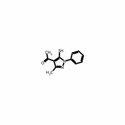 CC(=O)c1c(C)nn(-c2ccccc2)c1S